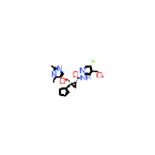 COCc1cc(NC(=O)[C@@H]2C[C@@]2(COc2cnc(C)nc2C)c2ccccc2)ncc1F